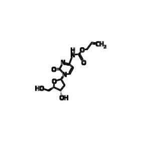 C=CCOC(=O)Nc1ccn([C@H]2C[C@H](O)[C@@H](CO)O2)c(=O)n1